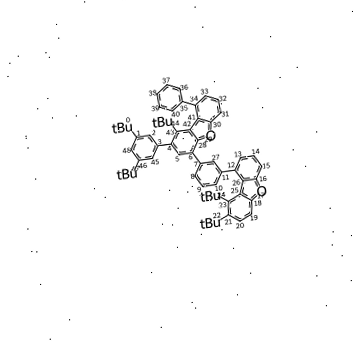 CC(C)(C)c1cc(-c2cc(-c3cccc(-c4cccc5oc6ccc(C(C)(C)C)c(C(C)(C)C)c6c45)c3)c3oc4cccc(-c5ccccc5)c4c3c2C(C)(C)C)cc(C(C)(C)C)c1